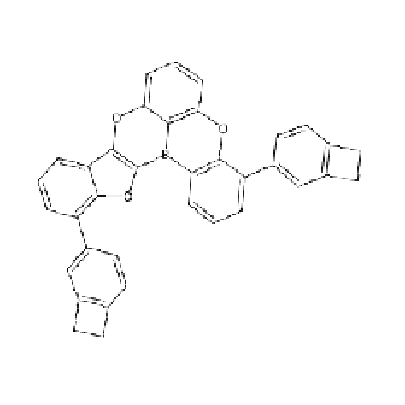 c1cc2c3c(c1)Oc1c(oc4c(-c5ccc6c(c5)CC6)cccc14)B3c1cccc(-c3ccc4c(c3)CC4)c1O2